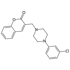 O=c1oc2ccccc2cc1CN1CCN(c2cccc(Cl)c2)CC1